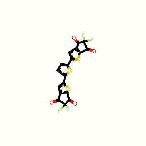 O=C1c2cc(-c3ccc(-c4cc5c(s4)C(=O)C(F)(F)C5=O)s3)sc2C(=O)C1(F)F